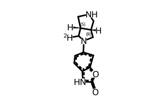 [2H]C1[C@@H]2CNC[C@@H]2CN1c1ccc2[nH]c(=O)oc2c1